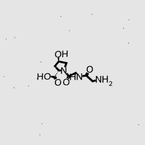 NCC(=O)NCC(=O)N1C[C@H](O)C[C@H]1C(=O)O